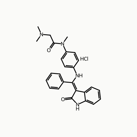 CN(C)CC(=O)N(C)c1ccc(NC(=C2C(=O)Nc3ccccc32)c2ccccc2)cc1.Cl